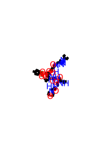 CCC(CC)n1cc(CNC(=O)CCC(=O)OC(C)(COS(=O)(=O)c2ccc(C)cc2)C(=O)[C@H](CC(C)C)NC(=O)CNC(=O)[C@H](CC(C)C)NC(=O)CNC(=O)CN2CCOCC2)nn1